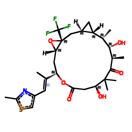 C/C(=C\c1csc(C)n1)[C@@H]1C[C@@H]2O[C@]2(C(F)(F)F)C[C@H]2C[C@@H]2[C@H](C)[C@H](O)[C@@H](C)C(=O)C(C)(C)[C@@H](O)CC(=O)O1